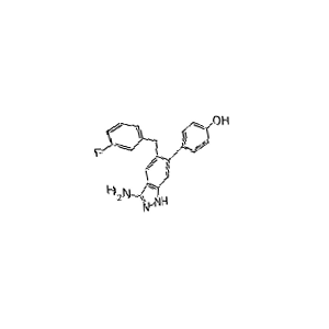 Nc1n[nH]c2cc(-c3ccc(O)cc3)c(Cc3cccc(F)c3)cc12